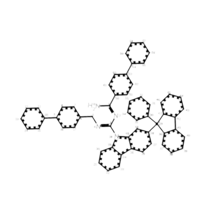 N/C(=N\C(=N/Cc1ccc(-c2ccccc2)cc1)n1c2ccccc2c2ccc(C3(c4ccccc4)c4ccccc4-c4ccccc43)cc21)c1ccc(-c2ccccc2)cc1